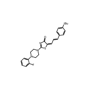 CC(C)(C)c1ccc(C=CC=C2SC(N3CCN(c4ccccc4F)CC3)=NC2=O)cc1